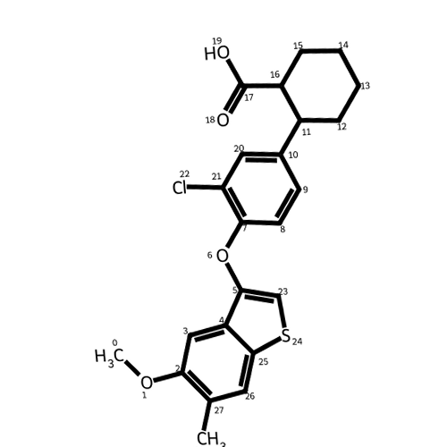 COc1cc2c(Oc3ccc(C4CCCCC4C(=O)O)cc3Cl)csc2cc1C